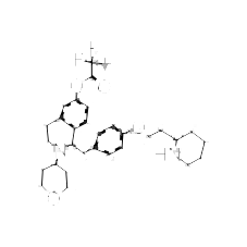 O=C(Oc1ccc2c(c1)CCN(C1CCOCC1)C2Cc1ccc(OCCC2CCCCN2)cc1)C(F)(F)F